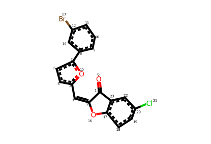 O=C1C(=Cc2ccc(-c3cccc(Br)c3)o2)Oc2ccc(Cl)cc21